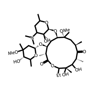 CCC1OC(=O)[C@H](C)[C@@H](O[C@H]2CC(C)(OC)[C@@H](O)C(C)O2)[C@H](C)[C@@H](O[C@@H]2OC(C)CC(N(C)C)C2O)[C@](C)(OC)C[C@@H](C)C(=O)[C@H](C)C(O)[C@]1(C)O